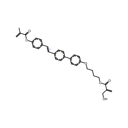 C=C(C)C(=O)Oc1ccc(/C=C/c2ccc(-c3ccc(OCCCCOC(=O)C(=C)CO)cc3)cc2)cc1